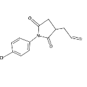 C=CCC1CC(=O)N(c2ccc(Cl)cc2)C1=O